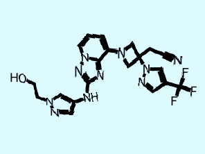 N#CCC1(n2cc(C(F)(F)F)cn2)CN(c2cccn3nc(Nc4cnn(CCO)c4)nc23)C1